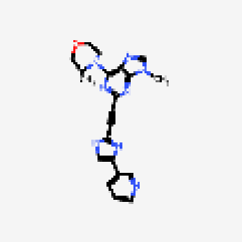 C[C@H]1COCCN1c1nc(C#Cc2nc(-c3cccnc3)c[nH]2)nc2c1ncn2C